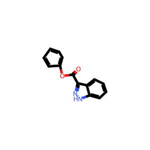 O=C(Oc1ccccc1)c1n[nH]c2ccccc12